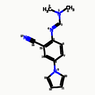 CN(C)/C=N/c1ccc(-n2cccc2)cc1C#N